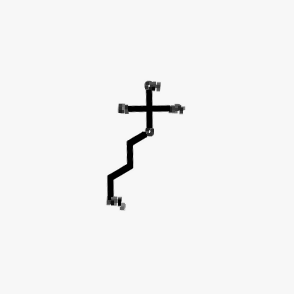 CCCC(O)(CC)OCCCN